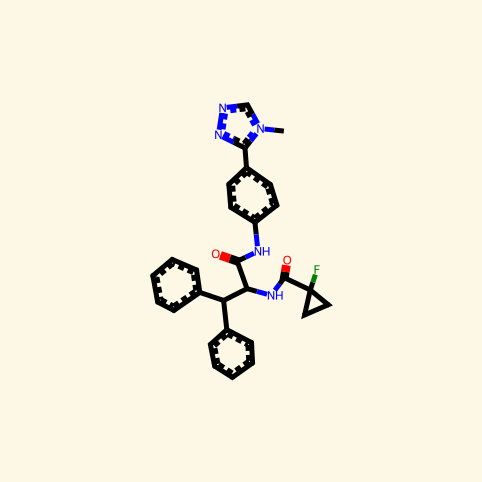 Cn1cnnc1-c1ccc(NC(=O)C(NC(=O)C2(F)CC2)C(c2ccccc2)c2ccccc2)cc1